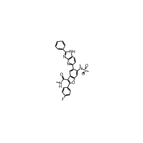 CNC(=O)c1c(-c2ccc(F)cc2)oc2cc(N(C)S(C)(=O)=O)c(-c3ccc4[nH]c(-c5ccccc5)nc4n3)cc12